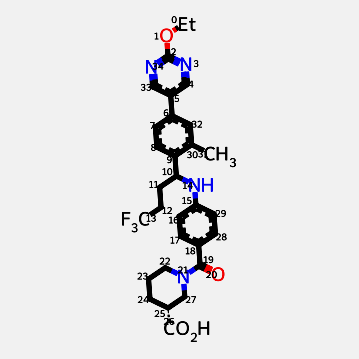 CCOc1ncc(-c2ccc(C(CCC(F)(F)F)Nc3ccc(C(=O)N4CCC[C@@H](C(=O)O)C4)cc3)c(C)c2)cn1